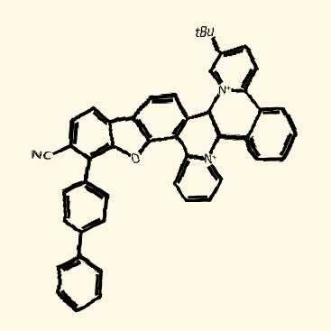 CC(C)(C)c1ccc2[n+](c1)C1c3ccc4c(oc5c(-c6ccc(-c7ccccc7)cc6)c(C#N)ccc54)c3-c3cccc[n+]3C1c1ccccc1-2